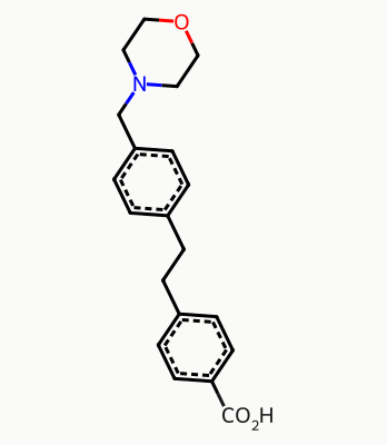 O=C(O)c1ccc(CCc2ccc(CN3CCOCC3)cc2)cc1